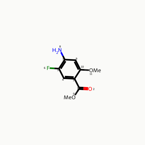 COC(=O)c1cc(F)c(N)cc1OC